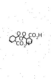 O=C(O)C1C=CCCC1C(=O)OC(=O)C1CCC=CC1C(=O)O